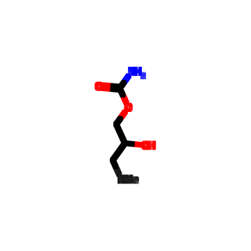 CNCC(O)COC(N)=O